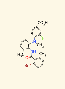 Cc1cccc(Br)c1C(=O)NC1=C(N(C)c2ccc(C(=O)O)cc2F)C=C=CC1C